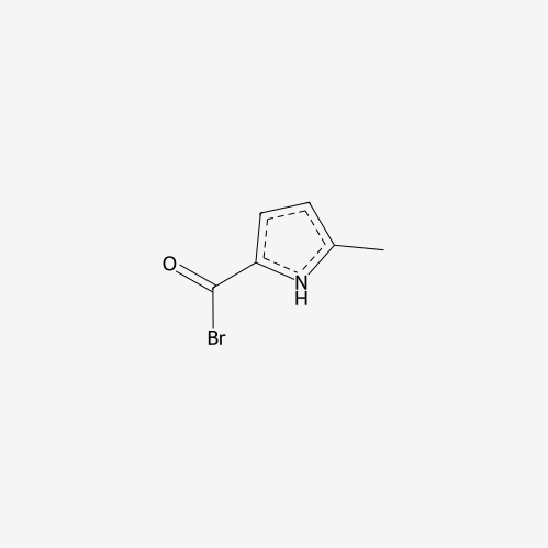 Cc1ccc(C(=O)Br)[nH]1